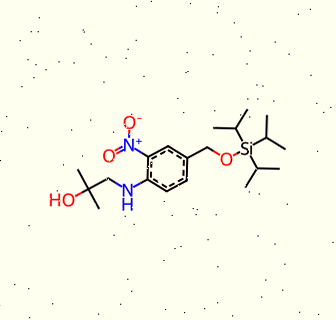 CC(C)[Si](OCc1ccc(NCC(C)(C)O)c([N+](=O)[O-])c1)(C(C)C)C(C)C